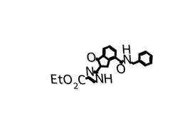 CCOC(=O)c1c[nH]c(C2Cc3c(C(=O)NCc4ccccc4)cccc3C2=O)n1